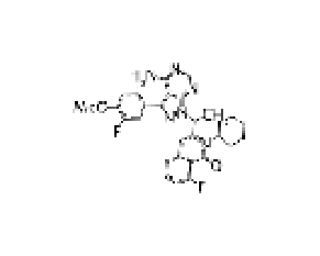 COc1ccc(-c2nn(C(C)c3cc4cccc(F)c4c(=O)n3C3CCCCC3)c3ncnc(N)c23)cc1F